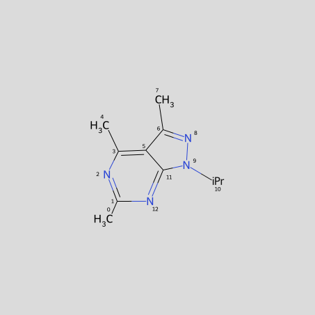 Cc1nc(C)c2c(C)nn(C(C)C)c2n1